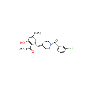 COC(=O)c1c(O)cc(OC)cc1C=C1CCN(C(=O)c2cccc(Cl)c2)CC1